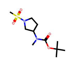 CN(C(=O)OC(C)(C)C)C1CCN(S(C)(=O)=O)C1